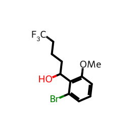 COc1cccc(Br)c1C(O)CCCC(F)(F)F